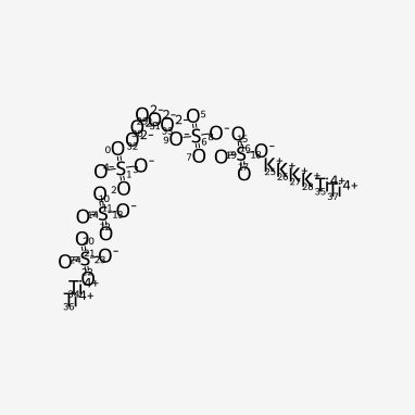 O=S(=O)([O-])[O-].O=S(=O)([O-])[O-].O=S(=O)([O-])[O-].O=S(=O)([O-])[O-].O=S(=O)([O-])[O-].[K+].[K+].[K+].[K+].[O-2].[O-2].[O-2].[O-2].[O-2].[Ti+4].[Ti+4].[Ti+4].[Ti+4]